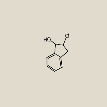 OC1c2ccccc2CC1Cl